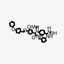 COc1cc(C(Nc2ccc(C(=N)NO)cc2)C(=O)NCc2ccccc2)ccc1OCc1ccc(Oc2ccccc2)cc1